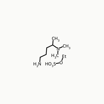 CC(CCCN)N(C)C.CCOS(=O)(=O)O